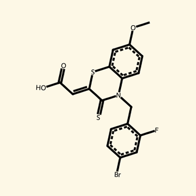 COc1ccc2c(c1)SC(=CC(=O)O)C(=S)N2Cc1ccc(Br)cc1F